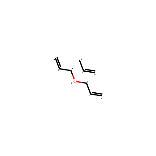 C=CC.C=CCOCC=C